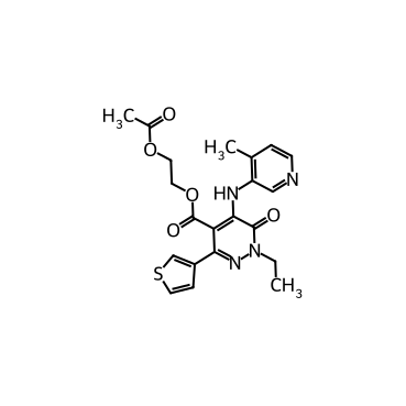 CCn1nc(-c2ccsc2)c(C(=O)OCCOC(C)=O)c(Nc2cnccc2C)c1=O